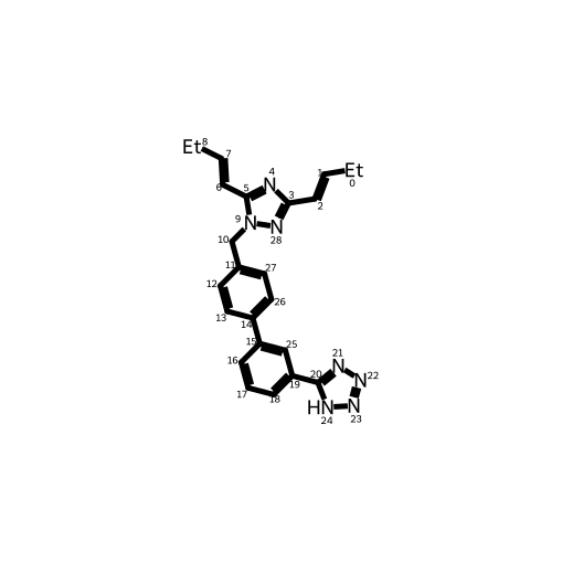 CC/C=C/c1nc(/C=C/CC)n(Cc2ccc(-c3cccc(-c4nnn[nH]4)c3)cc2)n1